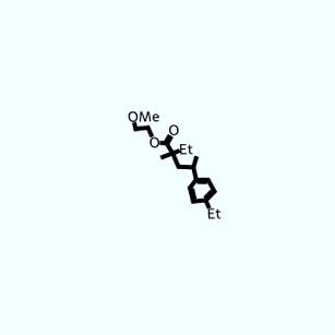 CCc1ccc(C(C)CC(C)(CC)C(=O)OCCOC)cc1